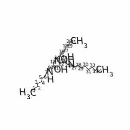 CCCCCCCCNCC(O)CN(CCCCCCCC)CC(O)CNCCCCCCCC